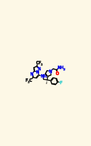 C[C@@](CNc1cc(C(F)(F)F)nc2cc(C(F)(F)F)nn12)(c1ccc(F)cc1)[C@H]1CCN(CC(N)=O)C1